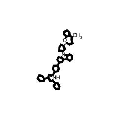 C/C1=C\C=C/[C@@H](c2cccc(-n3c4c(c5ccccc53)C=C(C3=CCC(C5=CC(C6C=CC=CC6)=CC(c6ccccc6)N5)C=C3)CC4)c2)Oc2ccccc21